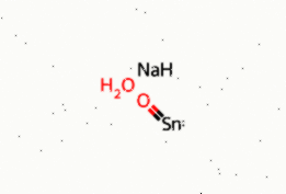 O.[NaH].[O]=[Sn]